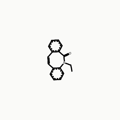 CCN1C(=O)c2ccccc2/C=C\c2ccccc21